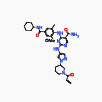 C=CC(=O)N1CCCC(n2cc(Nc3ncc(C(N)=O)c(Nc4c(C)cc(C(=O)NC5CCCCC5)cc4OC)n3)cn2)C1